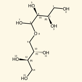 OC[C@@H](O)[C@H](O)C(O)OC[C@H](O)[C@H](O)CO